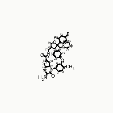 Cc1ccc(-n2c(=O)c(N)nc3sc(C(=O)NCC4COC(Cn5cncn5)(c5ccc(F)cc5F)C4)cc32)cc1Oc1ccccc1